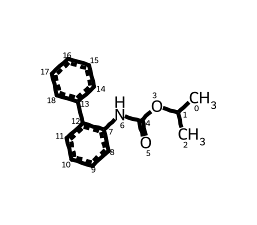 CC(C)OC(=O)Nc1ccccc1-c1ccccc1